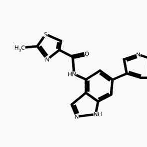 Cc1nc(C(=O)Nc2cc(-c3cccnc3)cc3[nH]ncc23)cs1